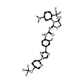 CN(C)c1ccc(C(F)(F)F)c(N2C(=O)CS/C2=N\C(=O)Nc2ccc(-c3ncn(-c4ccc(OC(F)(F)F)cn4)n3)cc2F)c1